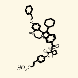 CN1CCn2c(c(C3CCCCC3)c3ccc(C(=O)NC4(C(=O)Nc5ccc(/C=C/C(=O)O)cc5)CCC4)cc32)-c2ccc(OCc3ccccc3)cc21